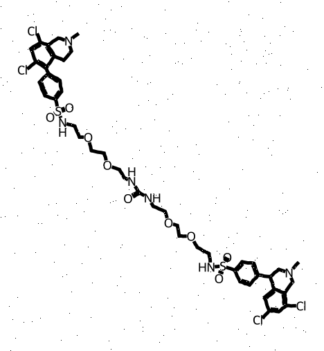 CN1CCc2c(c(Cl)cc(Cl)c2-c2ccc(S(=O)(=O)NCCOCCOCCNC(=O)NCCOCCOCCNS(=O)(=O)c3ccc(C4CN(C)Cc5c(Cl)cc(Cl)cc54)cc3)cc2)C1